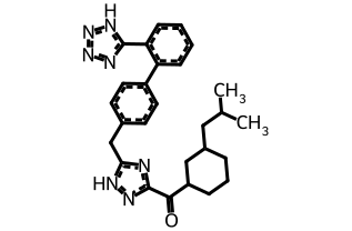 CC(C)CC1CCCC(C(=O)c2n[nH]c(Cc3ccc(-c4ccccc4-c4nnn[nH]4)cc3)n2)C1